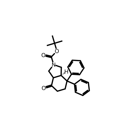 CC(C)(C)OC(=O)N1CC2C(=O)CCC(c3ccccc3)(c3ccccc3)[C@@H]2C1